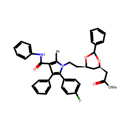 COC(=O)C[C@H]1C[C@@H](CCn2c(-c3ccc(F)cc3)c(-c3ccccc3)c(C(=O)Nc3ccccc3)c2C(C)C)OC(c2ccccc2)O1